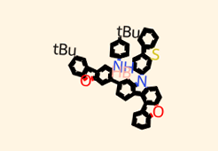 CC(C)(C)c1ccc(Nc2cc3c(cc2-c2ccc4c5c6c(ccc5n5c4c2Bc2cc4c(cc2-5)sc2ccccc24)oc2ccccc26)oc2ccc(C(C)(C)C)cc23)cc1